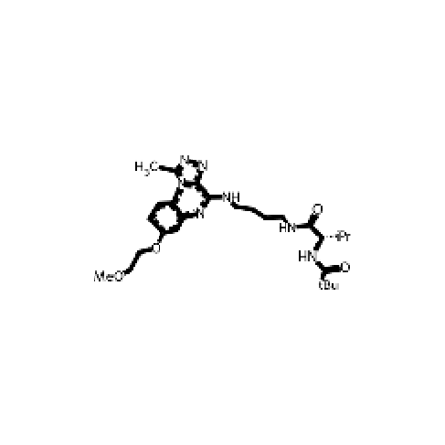 COCCOc1ccc2c(c1)nc(NCCCCNC(=O)[C@@H](NC(=O)C(C)(C)C)C(C)C)c1nnc(C)n12